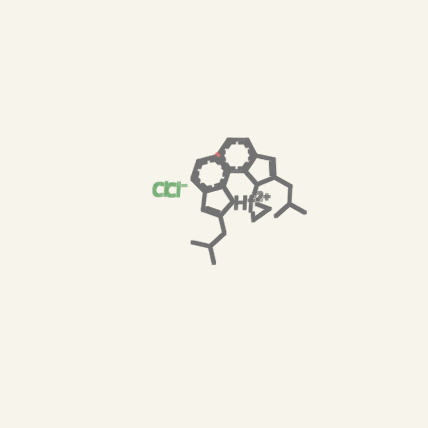 CC(C)CC1=Cc2ccccc2[CH]1[Hf+2]1([CH]2C(CC(C)C)=Cc3ccccc32)[CH2][CH2]1.[Cl-].[Cl-]